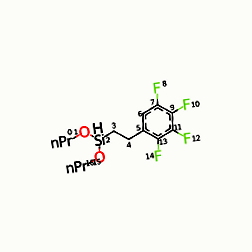 CCCO[SiH](CCc1cc(F)c(F)c(F)c1F)OCCC